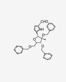 C[C@@]1(OCc2ccccc2)[C@H](OCc2ccccc2)C(COCc2ccccc2)O[C@H]1c1ccc(C=O)[nH]1